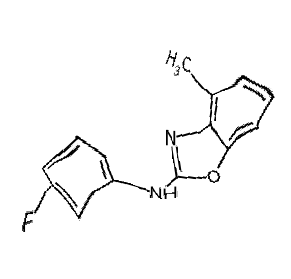 Cc1cccc2oc(Nc3cccc(F)c3)nc12